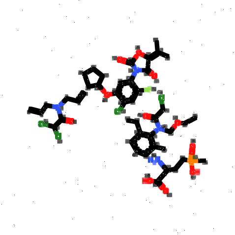 C=CCN(CC=C)C(=O)C(Cl)Cl.CC(C)=C1OC(=O)N(c2cc(OC3CCCC3)c(Cl)cc2F)C1=O.CCOCN(C(=O)CCl)c1c(C)cccc1CC.CP(=O)(O)CCC(N)C(=O)O